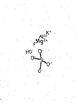 [Al+3].[F-].[K+].[Mg+2].[O-][Si]([O-])([O-])[O-].[OH-]